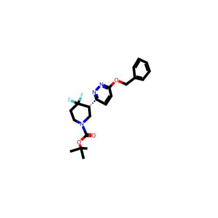 CC(C)(C)OC(=O)N1CCC(F)(F)[C@H](c2ccc(OCc3ccccc3)nn2)C1